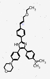 CCOC/C=C/c1ccc(-c2nc(-c3ccc(N(C)C)cc3)c(-c3ccc(N4CCOCC4)cc3)[nH]2)cc1